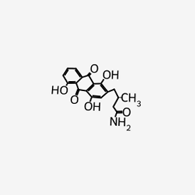 C[C@H](CC(N)=O)Cc1cc(O)c2c(c1O)C(=O)c1cccc(O)c1C2=O